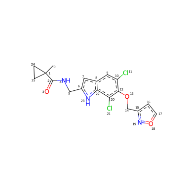 CC1(C(=O)NCc2cc3cc(Cl)c(OCc4ccon4)c(Cl)c3[nH]2)CC1